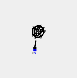 CC#N.[CH]12[CH]3[CH]4[CH]5[CH]1[Fe]23451678[CH]2[CH]1[CH]6[CH]7[CH]28